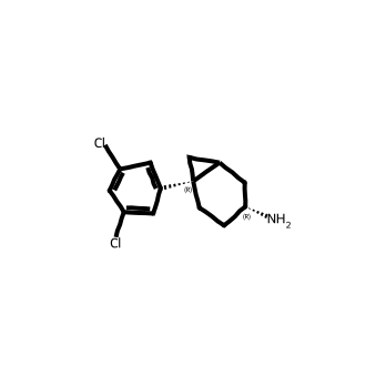 N[C@@H]1CC[C@@]2(c3cc(Cl)cc(Cl)c3)CC2C1